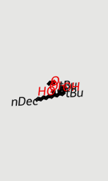 CCC(=O)O.CCCCCCCCCCCCCCCCC(CO)Cc1cc(C(C)(C)C)c(O)c(C(C)(C)C)c1